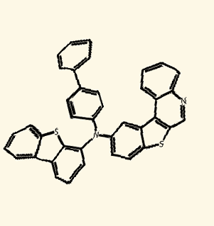 c1ccc(-c2ccc(N(c3ccc4sc5cnc6ccccc6c5c4c3)c3cccc4c3sc3ccccc34)cc2)cc1